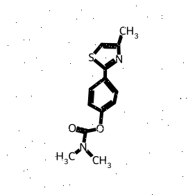 Cc1csc(-c2ccc(OC(=O)N(C)C)cc2)n1